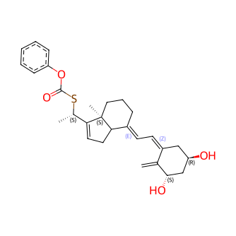 C=C1/C(=C\C=C2/CCC[C@]3(C)C([C@H](C)SC(=O)Oc4ccccc4)=CCC23)C[C@@H](O)C[C@@H]1O